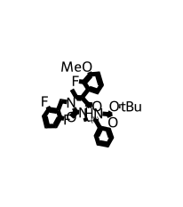 COc1cccc(-c2c(C)n(Cc3c(F)cccc3F)c(=O)n(C[C@H](NC(=O)OC(C)(C)C)c3ccccc3)c2=O)c1F